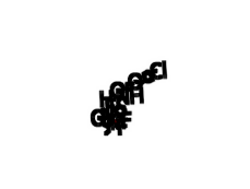 CCc1cc(=O)[nH]c(-c2c(C(F)(F)F)ccc(CNC(=O)[C@H]3C[C@H](OCc4ccc(Cl)cc4)C3)c2F)n1